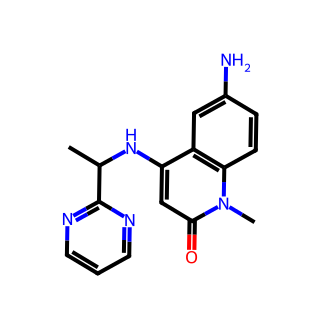 CC(Nc1cc(=O)n(C)c2ccc(N)cc12)c1ncccn1